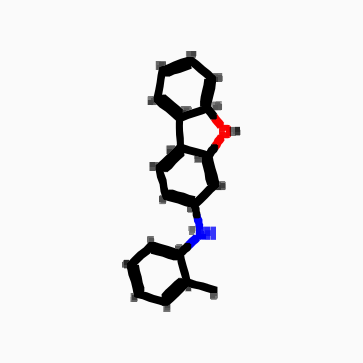 Cc1ccccc1Nc1ccc2c(c1)oc1ccccc12